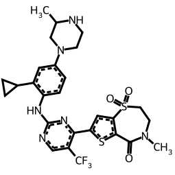 CC1CN(c2ccc(Nc3ncc(C(F)(F)F)c(-c4cc5c(s4)C(=O)N(C)CCS5(=O)=O)n3)c(C3CC3)c2)CCN1